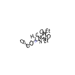 CCn1c(=O)c2c(nc(/C=C/c3ccc(OC4COC4)cc3)n2C)n(CC)c1=O